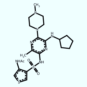 CC(=O)Nc1cscc1S(=O)(=O)Nc1nc(NC2CCCC2)c(N2CCN(C)CC2)nc1C